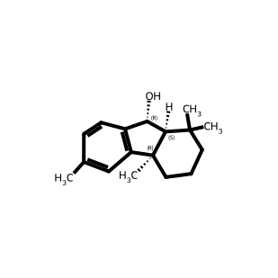 Cc1ccc2c(c1)[C@]1(C)CCCC(C)(C)[C@@H]1[C@H]2O